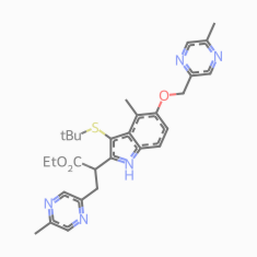 CCOC(=O)C(Cc1cnc(C)cn1)c1[nH]c2ccc(OCc3cnc(C)cn3)c(C)c2c1SC(C)(C)C